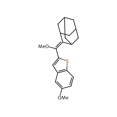 COC(=C1C2CC3CC(C2)CC1C3)c1cc2cc(OC)ccc2s1